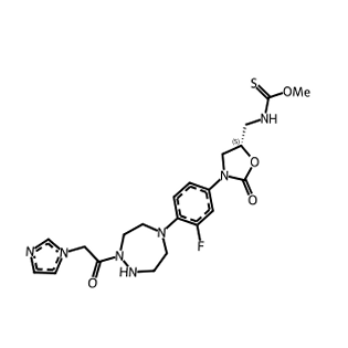 COC(=S)NC[C@H]1CN(c2ccc(N3CCNN(C(=O)Cn4ccnc4)CC3)c(F)c2)C(=O)O1